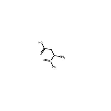 NC(CC(=O)O)S(=O)O